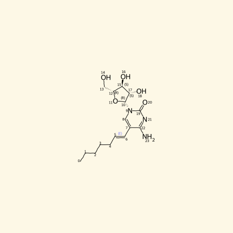 CCCCC/C=C/c1cn([C@@H]2O[C@H](CO)[C@@H](O)[C@@H]2O)c(=O)nc1N